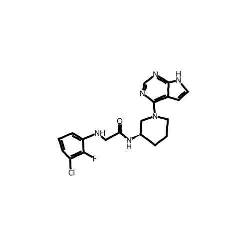 O=C(CNc1cccc(Cl)c1F)N[C@@H]1CCCN(c2ncnc3[nH]ccc23)C1